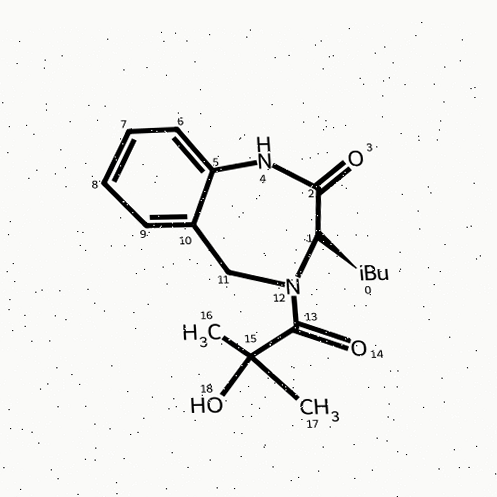 CC[C@H](C)C1C(=O)Nc2ccccc2CN1C(=O)C(C)(C)O